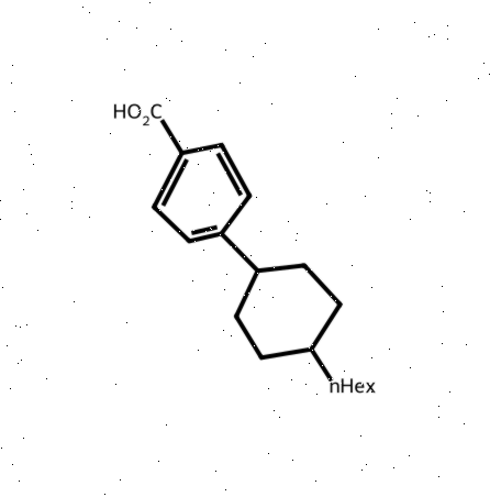 CCCCCCC1CCC(c2ccc(C(=O)O)cc2)CC1